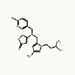 Cc1cc(CN(Cc2ccc(Cl)nc2)C2=CC(=O)OC2)n(CCC(C)C)n1